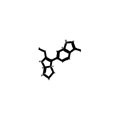 CCC1=C(c2ccc3c(C)csc3c2)N2CCN=C2S1